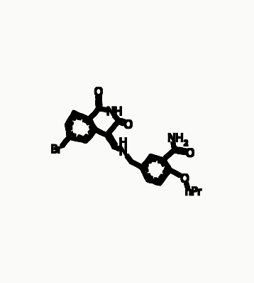 CCCOc1ccc(CNC=C2C(=O)NC(=O)c3ccc(Br)cc32)cc1C(N)=O